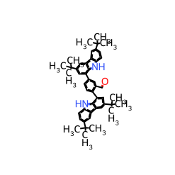 CC(C)(C)c1ccc2[nH]c3c(-c4ccc(-c5cc(C(C)(C)C)cc6c5[nH]c5ccc(C(C)(C)C)cc56)c(C=O)c4)cc(C(C)(C)C)cc3c2c1